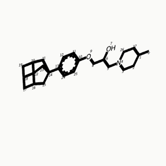 CC1CCN(CC(O)COc2ccc(C34CC5CC6CC(C3)C65C4)cc2)CC1